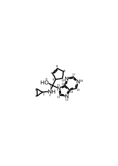 OC(NC1CC1)(C1C=CCC1)n1cnc2cncnc21